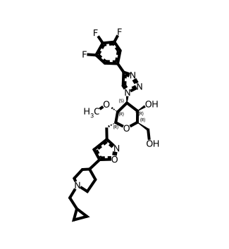 CO[C@@H]1[C@@H](n2cc(-c3cc(F)c(F)c(F)c3)nn2)[C@@H](O)[C@@H](CO)O[C@@H]1Cc1cc(C2CCN(CC3CC3)CC2)on1